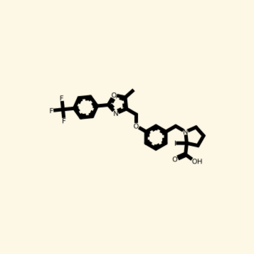 Cc1oc(-c2ccc(C(F)(F)F)cc2)nc1COc1cccc(CN2CCCC2(I)C(=O)O)c1